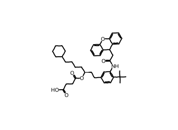 CC(C)(C)c1ccc(CC[C@H](CCCCC2CCCCC2)OC(=O)CCC(=O)O)cc1NC(=O)CC1c2ccccc2Oc2ccccc21